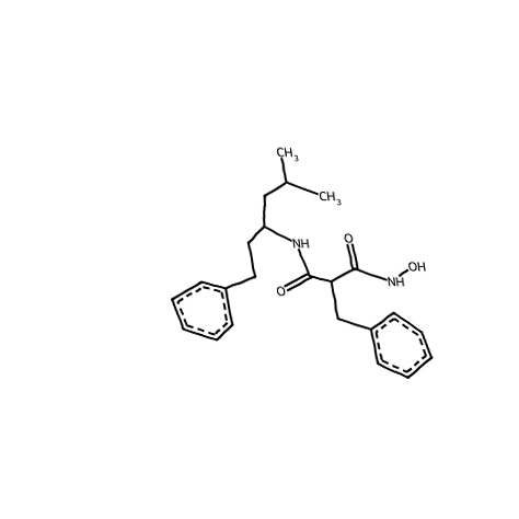 CC(C)CC(CCc1ccccc1)NC(=O)C(Cc1ccccc1)C(=O)NO